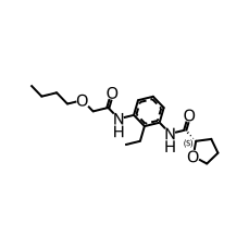 CCCCOCC(=O)Nc1cccc(NC(=O)[C@@H]2CCCO2)c1CC